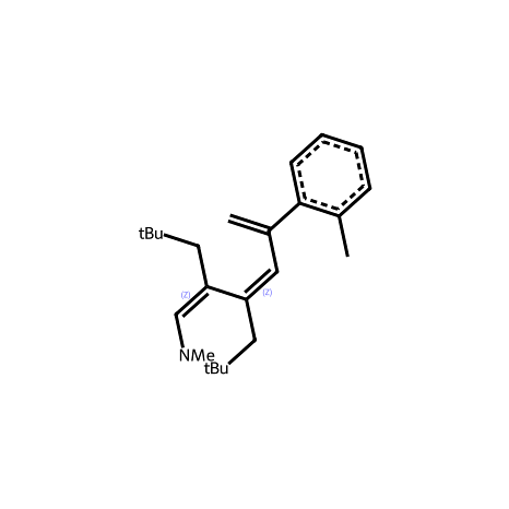 C=C(/C=C(CC(C)(C)C)\C(=C/NC)CC(C)(C)C)c1ccccc1C